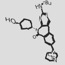 CCCCNc1ncc2c3ccc(N4CCN5CCC4CC5)cc3c(=O)n([C@H]3CC[C@H](O)CC3)c2n1